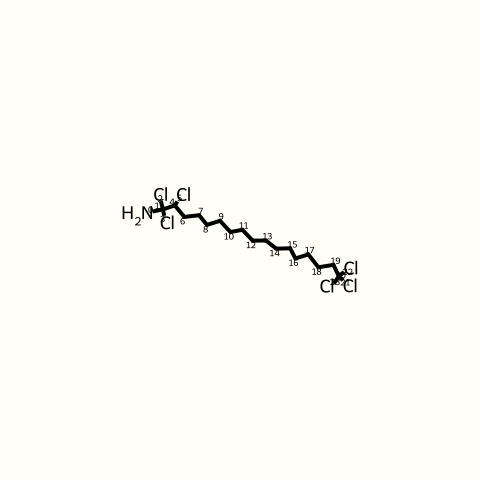 NC(Cl)(Cl)C(Cl)CCCCCCCCCCCCCCC(Cl)(Cl)Cl